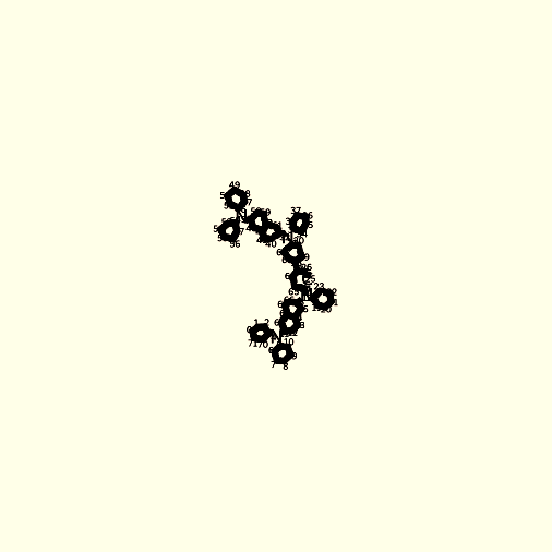 c1ccc(N(c2ccccc2)c2ccc3cc(N(c4ccccc4)c4ccc(-c5ccc(N(c6ccccc6)c6ccc7cc(N(c8ccccc8)c8ccccc8)ccc7c6)cc5)cc4)ccc3c2)cc1